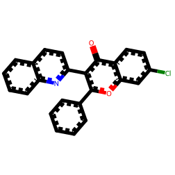 O=c1c(-c2ccc3ccccc3n2)c(-c2ccccc2)oc2cc(Cl)ccc12